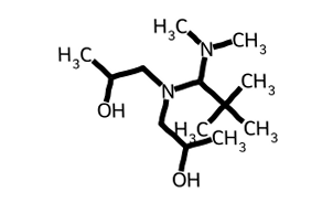 CC(O)CN(CC(C)O)C(N(C)C)C(C)(C)C